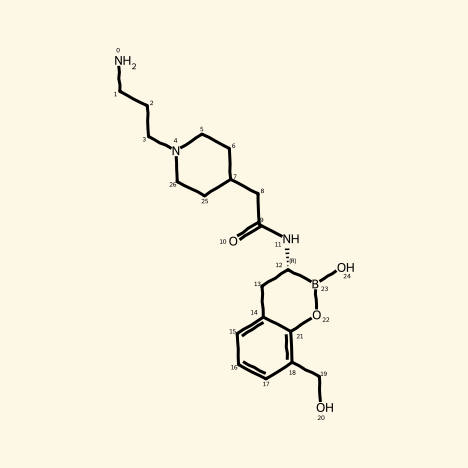 NCCCN1CCC(CC(=O)N[C@H]2Cc3cccc(CO)c3OB2O)CC1